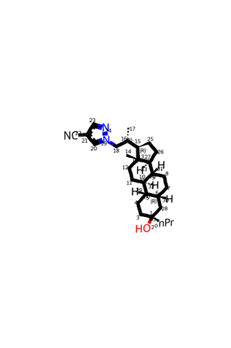 CCC[C@@]1(O)CC[C@H]2[C@H](CC[C@@H]3[C@@H]2CC[C@]2(C)[C@@H]([C@@H](C)Cn4cc(C#N)cn4)CC[C@@H]32)C1